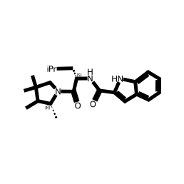 CC(C)C[C@H](NC(=O)c1cc2ccccc2[nH]1)C(=O)N1CC(C)(C)C(C)[C@H]1C